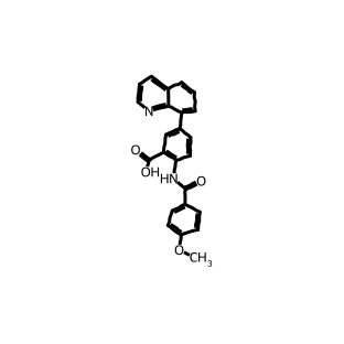 COc1ccc(C(=O)Nc2ccc(-c3cccc4cccnc34)cc2C(=O)O)cc1